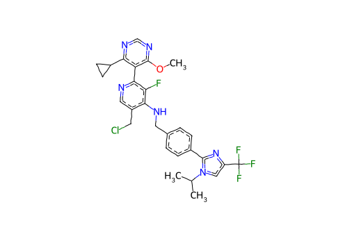 COc1ncnc(C2CC2)c1-c1ncc(CCl)c(NCc2ccc(-c3nc(C(F)(F)F)cn3C(C)C)cc2)c1F